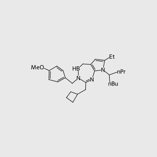 CCCCC(CCC)n1c(CC)cc2c1N=C(CC1CCC1)N(Cc1ccc(OC)cc1)BC2